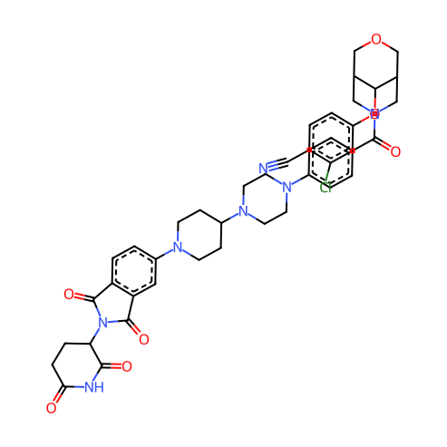 N#Cc1ccc(OC2C3COCC2CN(C(=O)c2ccc(N4CCN(C5CCN(c6ccc7c(c6)C(=O)N(C6CCC(=O)NC6=O)C7=O)CC5)CC4)cc2)C3)cc1Cl